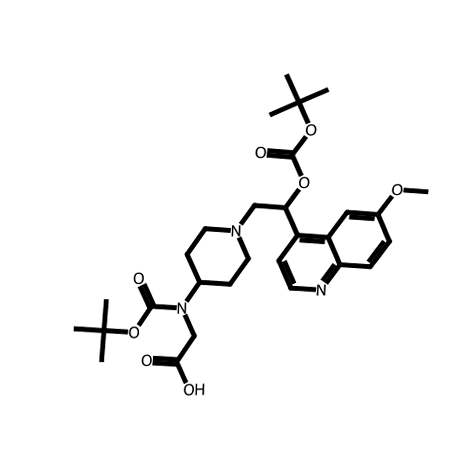 COc1ccc2nccc(C(CN3CCC(N(CC(=O)O)C(=O)OC(C)(C)C)CC3)OC(=O)OC(C)(C)C)c2c1